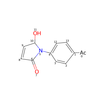 CC(=O)c1ccc(N2C(=O)C=CC2O)cc1